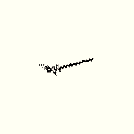 CCC=CCC=CCC=CCC=CCC=CCC=CCCC(=O)NCC(=O)N(CCC)[C@@H]1CCc2nc(N)sc2C1